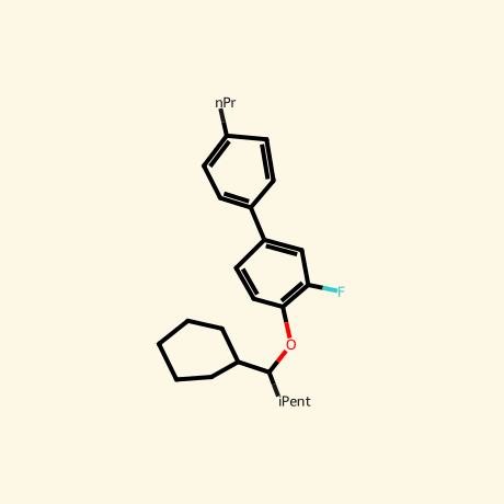 CCCc1ccc(-c2ccc(OC(C(C)CCC)C3CCCCC3)c(F)c2)cc1